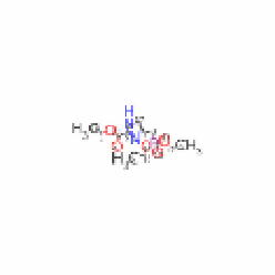 CCOC(=O)c1nc(CP(=O)(OCC)OCC)c[nH]1